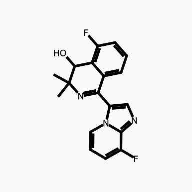 CC1(C)N=C(c2cnc3c(F)cccn23)c2cccc(F)c2C1O